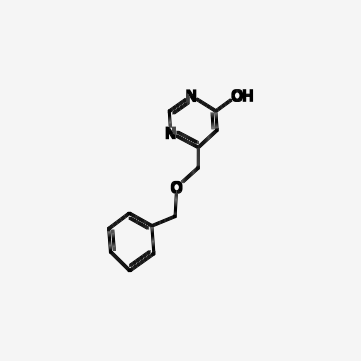 Oc1cc(COCc2ccccc2)ncn1